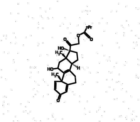 CCCC(=O)OCC(=O)[C@@]1(O)CC[C@H]2C3=C(C(O)C[C@@]21C)[C@@]1(C)C=CC(=O)C=C1CC3